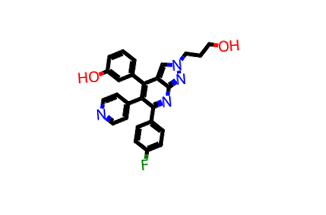 OCCCn1cc2c(-c3cccc(O)c3)c(-c3ccncc3)c(-c3ccc(F)cc3)nc2n1